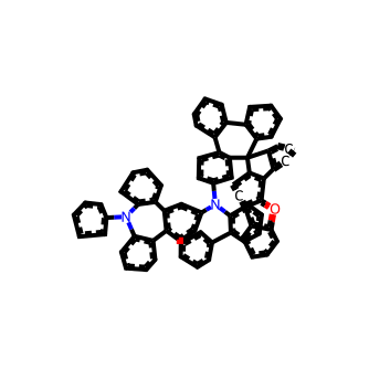 c1ccc(-c2ccccc2N(c2ccc3c(c2)-c2ccccc2N(c2ccccc2)c2ccccc2-3)c2ccc3c(c2)C2(c4ccccc4-c4ccccc4-3)c3ccccc3-c3c2ccc2c3oc3ccccc32)cc1